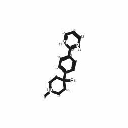 CN1CCC(F)(c2ccc(-c3ncccn3)cc2)CC1